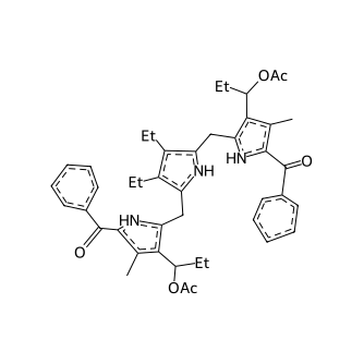 CCc1c(Cc2[nH]c(C(=O)c3ccccc3)c(C)c2C(CC)OC(C)=O)[nH]c(Cc2[nH]c(C(=O)c3ccccc3)c(C)c2C(CC)OC(C)=O)c1CC